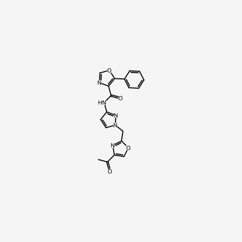 CC(=O)c1coc(Cn2ccc(NC(=O)c3ncoc3-c3ccccc3)n2)n1